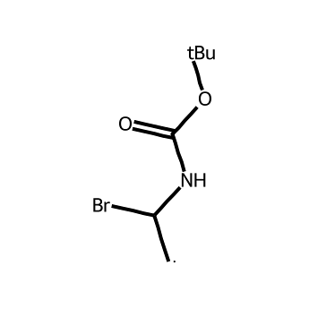 [CH2]C(Br)NC(=O)OC(C)(C)C